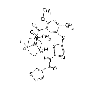 COc1cc(C)c(Sc2cnc(NC(=O)c3ccsc3)s2)cc1C(=O)N1C[C@H]2CC[C@@H](C1)N2C(C)=O